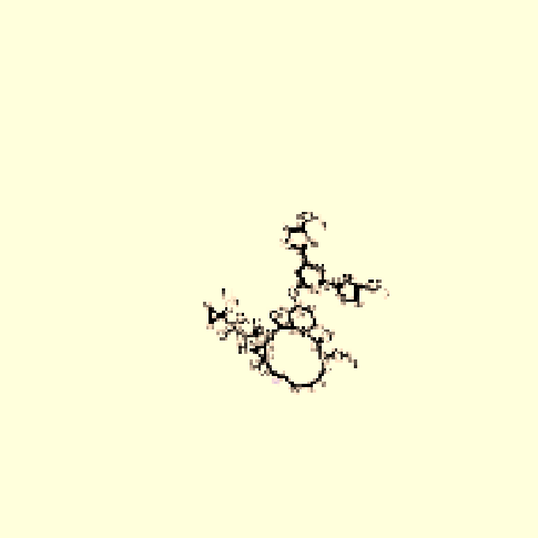 Cc1csc(-c2cc(O[C@H]3CCN4C(=O)N(C)CCCC/C=C/[C@@H]5C[C@@]5(C(=O)NS(=O)(=O)C5(C)CC5)NC(=O)C4C3)nc(-c3nc(C(F)(F)F)cs3)n2)n1